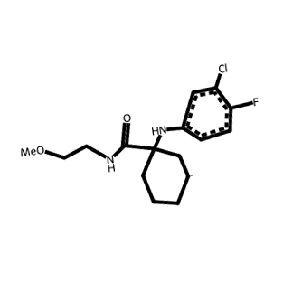 COCCNC(=O)C1(Nc2ccc(F)c(Cl)c2)C[CH]CCC1